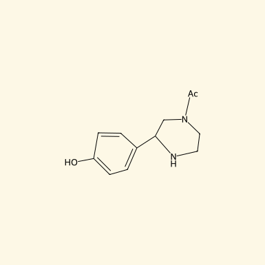 CC(=O)N1CCNC(c2ccc(O)cc2)C1